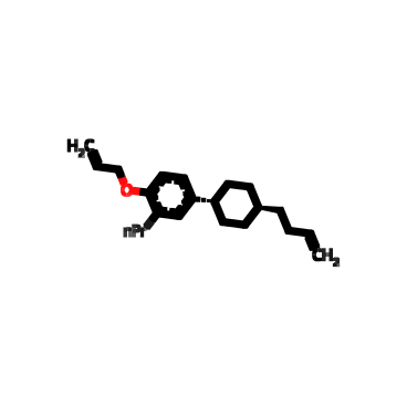 C=CCC[C@H]1CC[C@H](c2ccc(OCC=C)c(CCC)c2)CC1